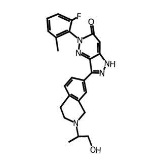 Cc1cccc(F)c1-n1nc2c(-c3ccc4c(c3)CN(C(C)CO)CC4)n[nH]c2cc1=O